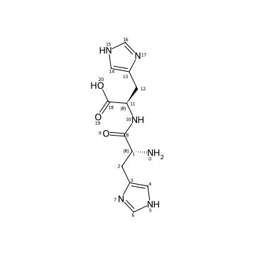 N[C@H](Cc1c[nH]cn1)C(=O)N[C@H](Cc1c[nH]cn1)C(=O)O